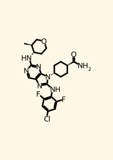 C[C@H]1COCC[C@@H]1Nc1ncc2nc(Nc3c(F)cc(Cl)cc3F)n([C@H]3CC[C@H](C(N)=O)CC3)c2n1